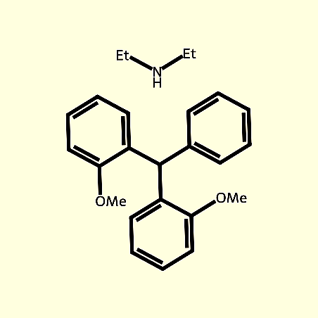 CCNCC.COc1ccccc1C(c1ccccc1)c1ccccc1OC